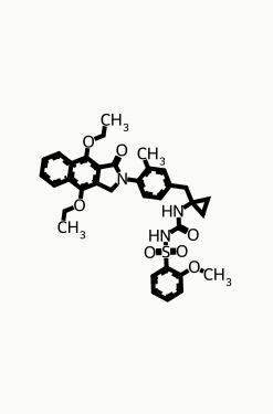 CCOc1c2c(c(OCC)c3ccccc13)C(=O)N(c1ccc(CC3(NC(=O)NS(=O)(=O)c4ccccc4OC)CC3)cc1C)C2